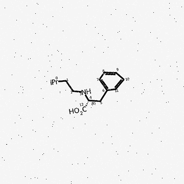 CC(C)CCN[C@H](Cc1ccccc1)C(=O)O